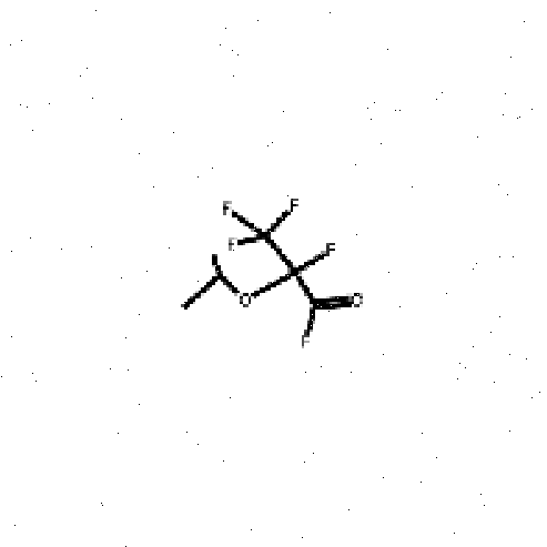 CC(C)OC(F)(C(=O)F)C(F)(F)F